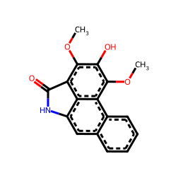 COc1c(O)c(OC)c2c3c(cc4ccccc42)NC(=O)c13